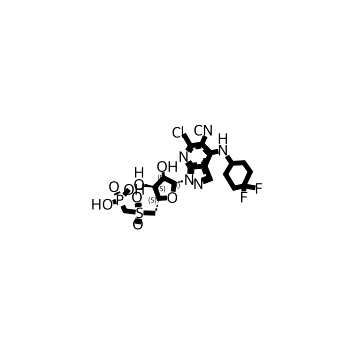 N#Cc1c(Cl)nc2c(cnn2[C@@H]2O[C@H](CS(=O)(=O)CP(=O)(O)O)[C@@H](O)[C@H]2O)c1NC1CCC(F)(F)CC1